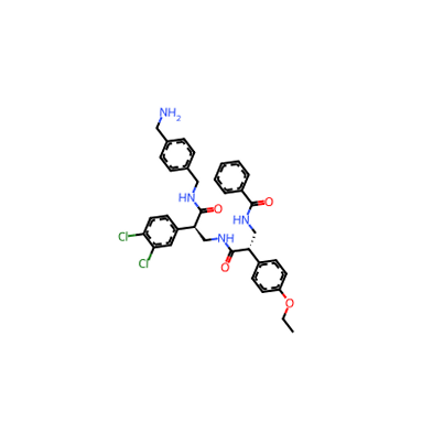 CCOc1ccc([C@@H](CNC(=O)c2ccccc2)C(=O)NC[C@H](C(=O)NCc2ccc(CN)cc2)c2ccc(Cl)c(Cl)c2)cc1